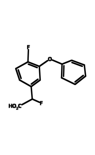 O=C(O)C(F)c1ccc(F)c(Oc2ccccc2)c1